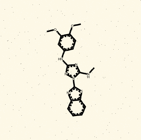 CNc1nc(Nc2ccc(OC)c(OC)c2)nn1-c1nc2ccccc2s1